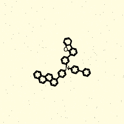 C1=CCC2C(=C1)Oc1c(-c3cccc(N(c4ccc(-c5ccccc5)cc4)c4ccc(-c5cccc6c5ccc5c7ccccc7ccc65)cc4)c3)cccc12